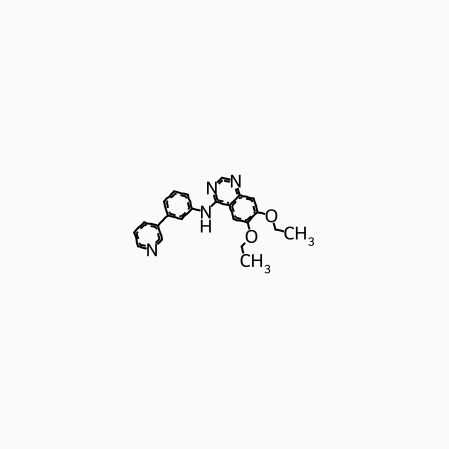 CCOc1cc2ncnc(Nc3cccc(-c4cccnc4)c3)c2cc1OCC